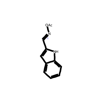 CC(=O)O/N=[C]/c1cc2ccccc2[nH]1